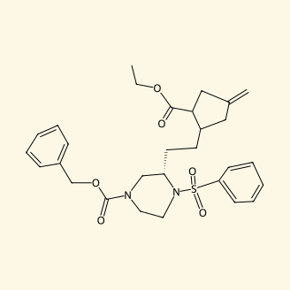 C=C1CC(CC[C@H]2CN(C(=O)OCc3ccccc3)CCN2S(=O)(=O)c2ccccc2)C(C(=O)OCC)C1